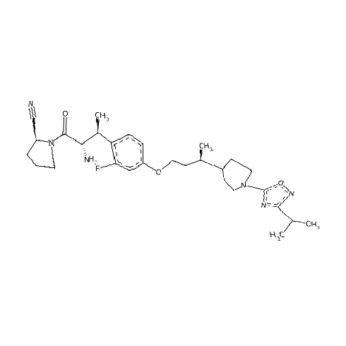 CC(C)c1noc(N2CCC([C@H](C)CCOc3ccc([C@H](C)[C@H](N)C(=O)N4CCC[C@H]4C#N)c(F)c3)CC2)n1